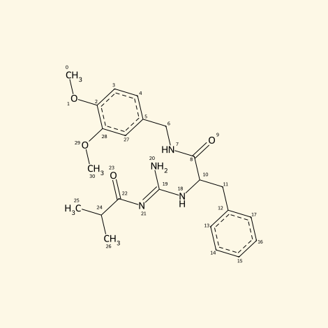 COc1ccc(CNC(=O)C(Cc2ccccc2)NC(N)=NC(=O)C(C)C)cc1OC